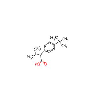 CC(C)C(C(=O)O)c1ccc(C(C)(C)C)cc1